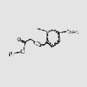 CC(=O)Oc1ccc(OCC(=O)OC(C)C)c(C)c1